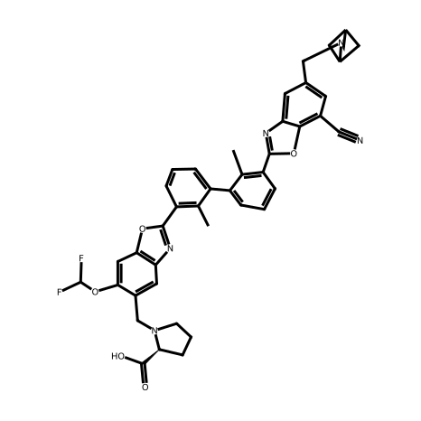 Cc1c(-c2nc3cc(CN4CCC[C@H]4C(=O)O)c(OC(F)F)cc3o2)cccc1-c1cccc(-c2nc3cc(CN4CC5CC4C5)cc(C#N)c3o2)c1C